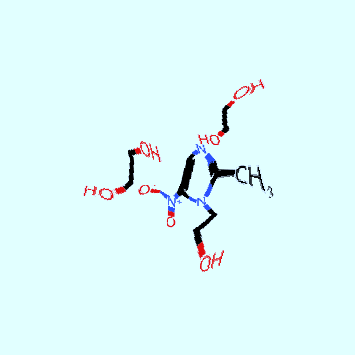 Cc1ncc([N+](=O)[O-])n1CCO.OCCO.OCCO